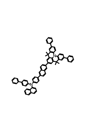 CC1(C)c2cc(-c3ccccc3)ccc2N2c3ccc(-c4ccccc4)cc3C(C)(C)c3cc(-c4ccc5cc(-c6ccc(N(c7ccc(-c8ccccc8)cc7)c7cccc8ccccc78)cc6)ccc5c4)cc1c32